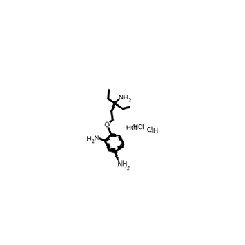 CCC(N)(CC)CCOc1ccc(N)cc1N.Cl.Cl.Cl